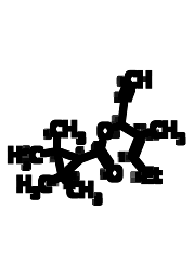 C#CC(OC(=O)C1C(C)(C)C1(C)C)C(C)=CCC